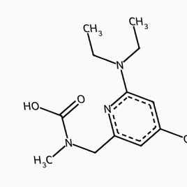 CCN(CC)c1cc(Cl)cc(CN(C)C(=O)O)n1